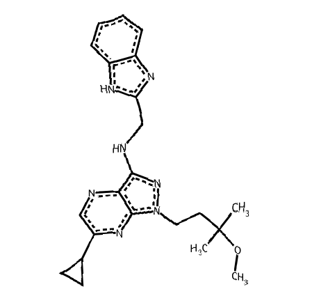 COC(C)(C)CCn1nc(NCc2nc3ccccc3[nH]2)c2ncc(C3CC3)nc21